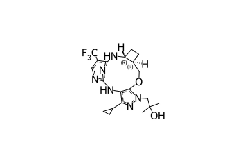 CC(C)(O)Cn1nc(C2CC2)c2c1OC[C@@H]1CC[C@H]1Nc1nc(ncc1C(F)(F)F)N2